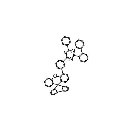 c1ccc(-c2nc(-c3cccc(-c4cccc5c4Oc4ccccc4C54c5ccccc5-c5ccccc54)c3)nc(-c3ccccc3-c3ccccc3)n2)cc1